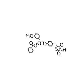 O=C1NC(=O)C(Cc2ccc(OCC(OCOC(=O)c3ccccc3)c3cccc(O)c3)cc2)S1